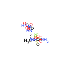 CN(CCCCCCNc1cccc2c1C(=O)N(C1CCC(=O)NC1=O)C2=O)CC[C@H](CSc1ccccc1)Nc1ccc(S(N)(=O)=O)cc1S(=O)(=O)C(F)(F)F